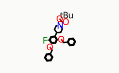 CC(C)(C)OC(=O)N1CCC(c2cc(F)c(OCc3ccccc3)cc2OCc2ccccc2)CC1